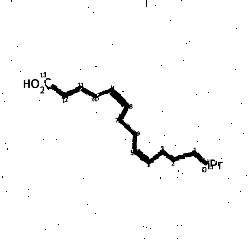 CC(C)CCC/C=C\CC/C=C\CCCC(=O)O